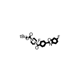 CC(C)(C)OC(=O)N1CCN(C(=O)c2ccc(-c3nc4ccc(F)cc4o3)cc2F)CC1